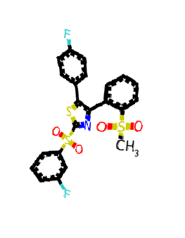 CS(=O)(=O)c1ccccc1-c1nc(S(=O)(=O)c2cccc(F)c2)sc1-c1ccc(F)cc1